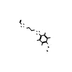 C=CS(=O)(=O)OCCNS(=O)(=O)c1c(F)c(F)c(N=[N+]=[N-])c(F)c1F